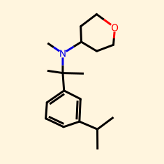 CC(C)c1cccc(C(C)(C)N(C)C2CCOCC2)c1